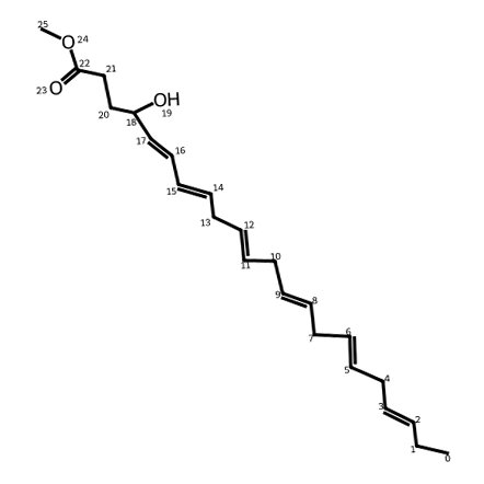 CCC=CCC=CCC=CCC=CCC=CC=CC(O)CCC(=O)OC